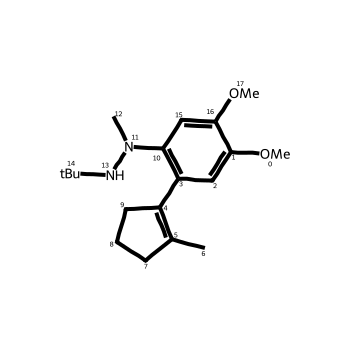 COc1cc(C2=C(C)CCC2)c(N(C)NC(C)(C)C)cc1OC